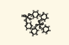 O=P(O)(Oc1ccccc1)Oc1ccccc1.O=P(Oc1ccccc1)(Oc1ccccc1)Oc1ccccc1